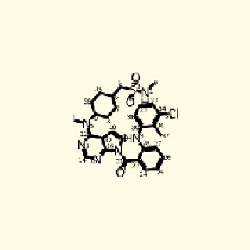 CNS(=O)(=O)CC1CCC(N(C)C2N=CN=C3C2C=CN3C(=O)c2ccccc2Nc2cccc(Cl)c2C)CC1